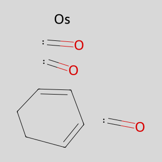 C1=CCCC=C1.[C]=O.[C]=O.[C]=O.[Os]